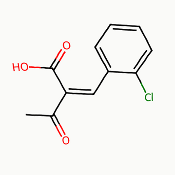 CC(=O)C(=Cc1ccccc1Cl)C(=O)O